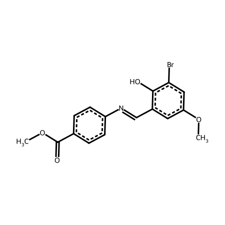 COC(=O)c1ccc(/N=C/c2cc(OC)cc(Br)c2O)cc1